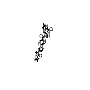 COc1nc(NC(=O)c2cnc(N3CC[C@@H](N(C)C(=O)OC(C)(C)C)C3)cn2)cn2cc(C)nc12